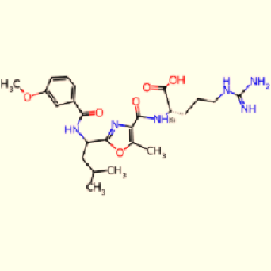 COc1cccc(C(=O)NC(CC(C)C)c2nc(C(=O)N[C@@H](CCCNC(=N)N)C(=O)O)c(C)o2)c1